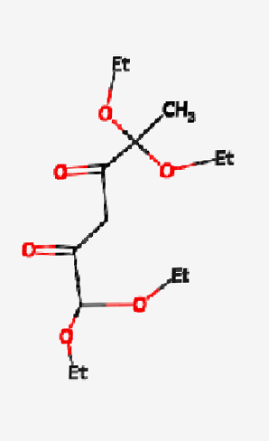 CCOC(OCC)C(=O)CC(=O)C(C)(OCC)OCC